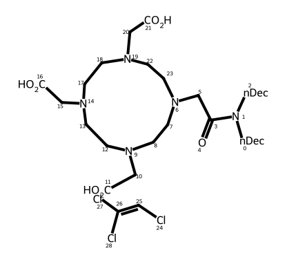 CCCCCCCCCCN(CCCCCCCCCC)C(=O)CN1CCN(CC(=O)O)CCN(CC(=O)O)CCN(CC(=O)O)CC1.ClC=C(Cl)Cl